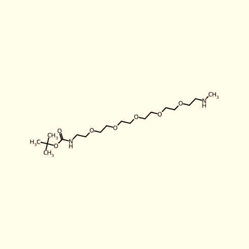 CNCCOCCOCCOCCOCCOCCNC(=O)OC(C)(C)C